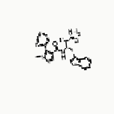 Cn1ncc(C(=O)NC(Cc2csc3ccccc23)C(=O)C(N)=O)c1-c1ccccn1